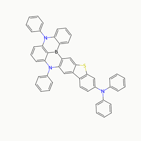 c1ccc(N(c2ccccc2)c2ccc3c(c2)sc2cc4c(cc23)N(c2ccccc2)c2cccc3c2B4c2ccccc2N3c2ccccc2)cc1